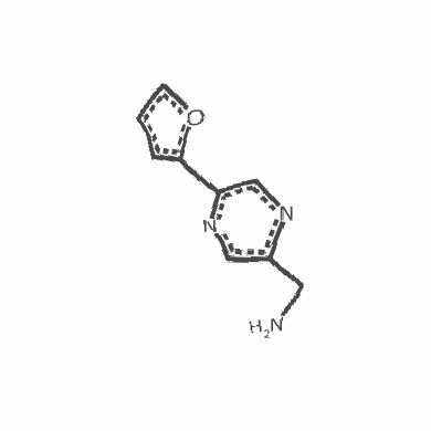 NCc1cnc(-c2ccco2)cn1